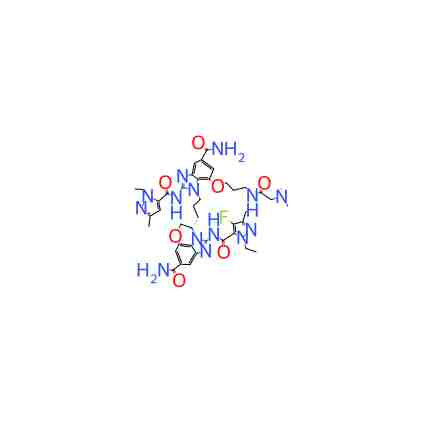 CCn1nc(C)cc1C(=O)Nc1nc2cc(C(N)=O)cc(OCCCNC(=O)CN(C)C)c2n1CCC[C@H]1COc2cc(C(N)=O)cc3nc(NC(=O)c4c(F)c(C)nn4CC)n1c23